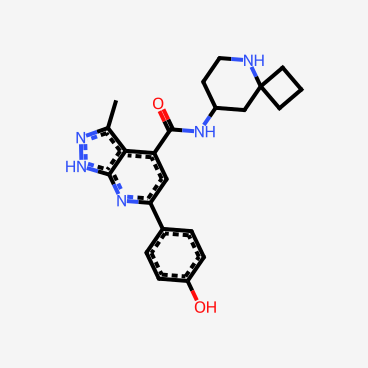 Cc1n[nH]c2nc(-c3ccc(O)cc3)cc(C(=O)NC3CCNC4(CCC4)C3)c12